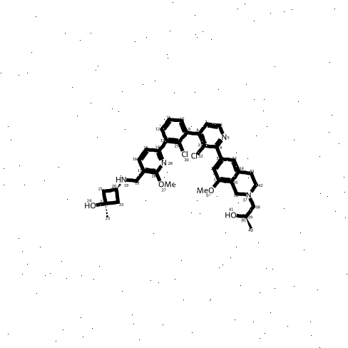 COc1cc(-c2nccc(-c3cccc(-c4ccc(CN[C@H]5C[C@](C)(O)C5)c(OC)n4)c3Cl)c2Cl)cc2c1CN(C[C@@H](C)O)CC2